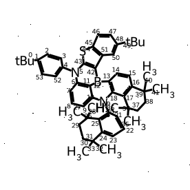 CC(C)(C)c1ccc(N2c3cccc4c3B(c3ccc5c(c3N4c3cccc4c3C(C)(C)CCC4(C)C)C(C)(C)CCC5(C)C)c3c2sc2ccc(C(C)(C)C)cc32)cc1